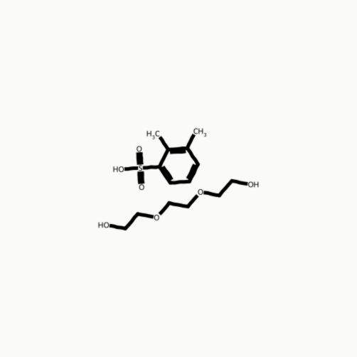 Cc1cccc(S(=O)(=O)O)c1C.OCCOCCOCCO